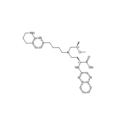 CO[C@H](C)CN(CCCCc1ccc2c(n1)NCCC2)CC[C@H](Nc1cnc2ccccc2n1)C(=O)O